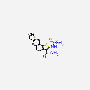 CCc1ccc2c(c1)CCc1c-2sc(NC(N)=O)c1C(N)=O